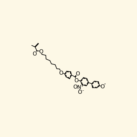 C=C(C)C(=O)OCCCCCCCCOc1ccc(C(=O)Oc2ccc(-c3ccc(OC)cc3)cc2[N+](=O)[O-])cc1